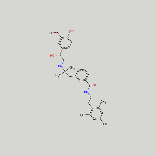 Cc1cc(C)c(CCNC(=O)c2cccc(CC(C)(C)NC[C@H](O)c3ccc(O)c(CO)c3)c2)c(C)c1